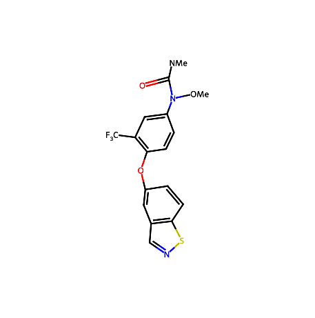 CNC(=O)N(OC)c1ccc(Oc2ccc3sncc3c2)c(C(F)(F)F)c1